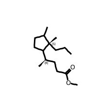 CCC[C@@]1(C)C(C)CCC1[C@H](C)CCC(=O)OC